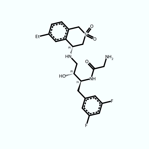 CCc1ccc2c(c1)[C@@H](NC[C@@H](O)[C@H](Cc1cc(F)cc(F)c1)NC(=O)CN)CS(=O)(=O)C2